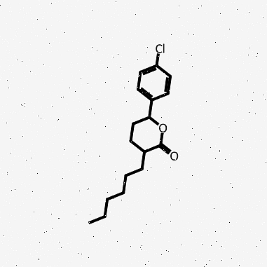 CCCCCCC1CCC(c2ccc(Cl)cc2)OC1=O